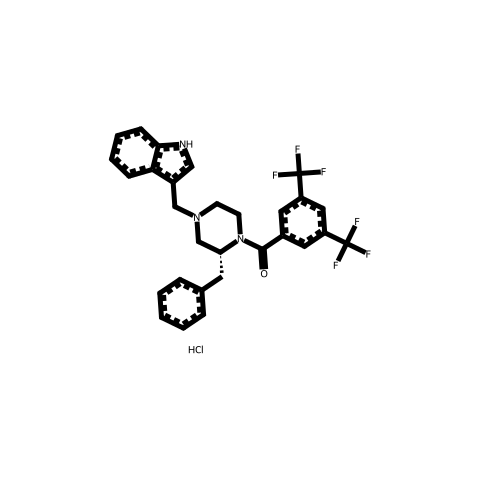 Cl.O=C(c1cc(C(F)(F)F)cc(C(F)(F)F)c1)N1CCN(Cc2c[nH]c3ccccc23)C[C@H]1Cc1ccccc1